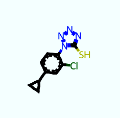 Sc1nnnn1-c1ccc(C2CC2)cc1Cl